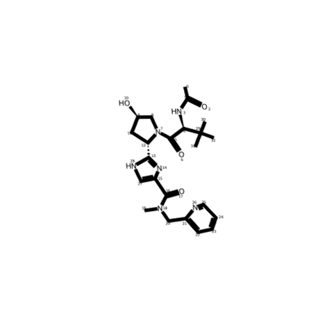 CC(=O)N[C@H](C(=O)N1C[C@H](O)C[C@H]1c1nc(C(=O)N(C)Cc2ccccn2)c[nH]1)C(C)(C)C